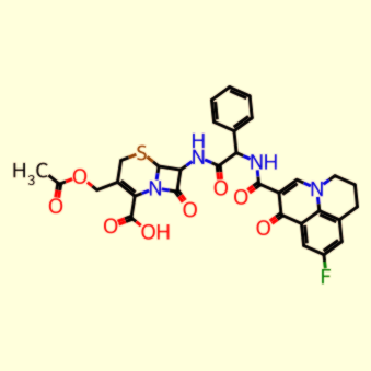 CC(=O)OCC1=C(C(=O)O)N2C(=O)C(NC(=O)C(NC(=O)c3cn4c5c(cc(F)cc5c3=O)CCC4)c3ccccc3)C2SC1